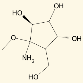 COC1(N)C(CO)[C@@H](O)C(O)[C@@H]1O